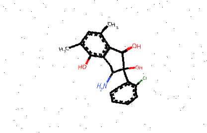 Cc1cc(C)c2c(c1O)C(N)C(O)(c1ccccc1Cl)C2O